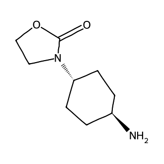 N[C@H]1CC[C@H](N2CCOC2=O)CC1